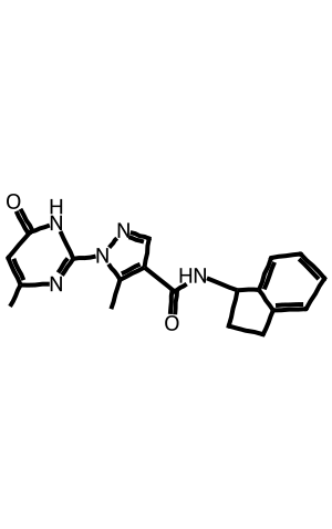 Cc1cc(=O)[nH]c(-n2ncc(C(=O)NC3CCc4ccccc43)c2C)n1